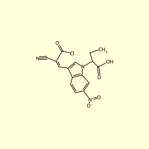 CCC(C(=O)O)n1cc(C=C(C#N)C(=O)Cl)c2ccc([N+](=O)[O-])cc21